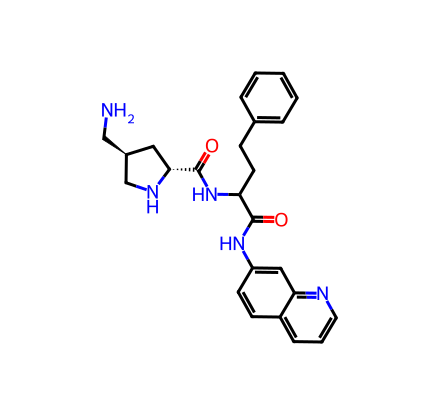 NC[C@@H]1CN[C@@H](C(=O)NC(CCc2ccccc2)C(=O)Nc2ccc3cccnc3c2)C1